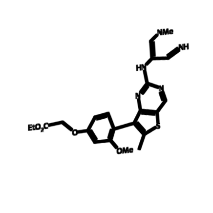 CCOC(=O)COc1ccc(-c2c(C)sc3cnc(N/C(C=N)=C/NC)nc23)c(OC)c1